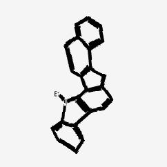 CCn1c2ccccc2c2ccc3c(c21)-c1ccc2ccccc2c1C3